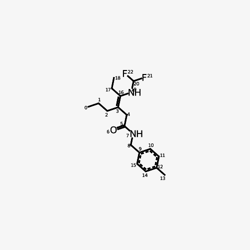 CCC/C(CC(=O)NCc1ccc(C)cc1)=C(\CC)NC(F)F